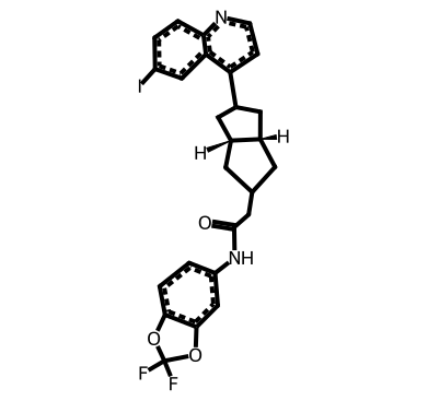 O=C(CC1C[C@@H]2CC(c3ccnc4ccc(I)cc34)C[C@@H]2C1)Nc1ccc2c(c1)OC(F)(F)O2